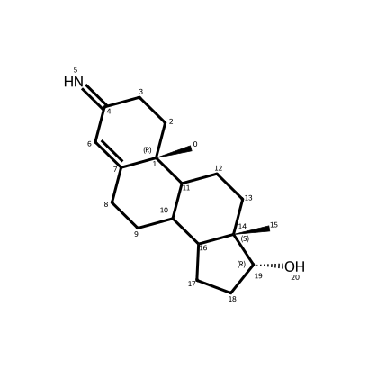 C[C@]12CCC(=N)C=C1CCC1C2CC[C@@]2(C)C1CC[C@H]2O